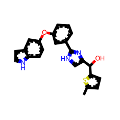 Cc1ccc(C(O)c2c[nH]c(-c3cccc(Oc4ccc5[nH]ccc5c4)c3)n2)s1